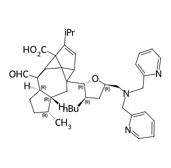 CCCC[C@@H]1C[C@H](CN(Cc2ccccn2)Cc2ccccn2)O[C@H]1C12C[C@@H]3[C@H](C)CC[C@H]3C3(C=O)CC14C2C=C(C(C)C)C34C(=O)O